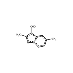 Cc1ccn2nc(C)c(C=O)c2c1